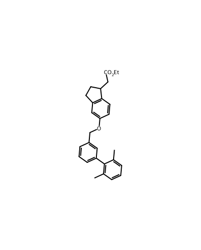 CCOC(=O)CC1CCc2cc(OCc3cccc(-c4c(C)cccc4C)c3)ccc21